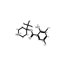 CC(C)(C)C1(OC(=O)c2cc(I)cc(I)c2O)CCNCC1